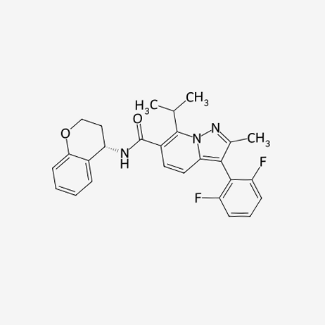 Cc1nn2c(C(C)C)c(C(=O)N[C@H]3CCOc4ccccc43)ccc2c1-c1c(F)cccc1F